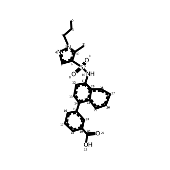 CCCn1ncc(S(=O)(=O)Nc2ccc(-c3cccc(C(=O)O)c3)c3ccccc23)c1C